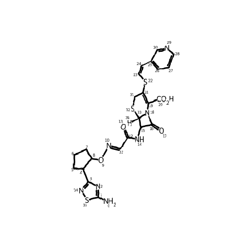 Nc1nc(C2CCCC2ON=CC(=O)NC2C(=O)N3C(C(=O)O)=C(S/C=C\c4cccnc4)CS[C@@H]23)ns1